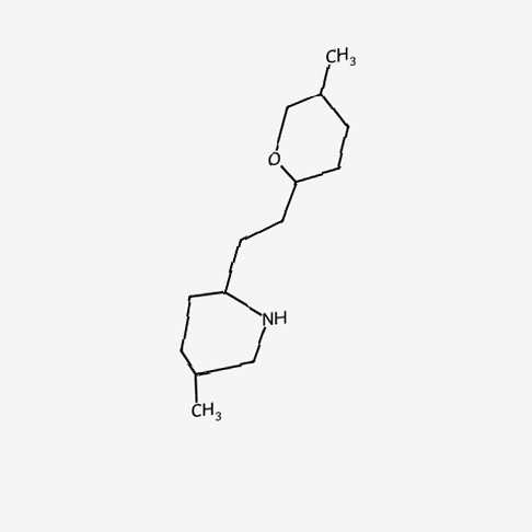 CC1CCC(CCC2CCC(C)CO2)NC1